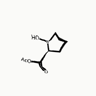 CC(=O)OC(=O)[C@@H]1CCCN1O